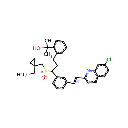 CC(C)(O)c1ccccc1CCC(c1cccc(/C=C/c2ccc3ccc(Cl)cc3n2)c1)[S@+]([O-])CC1(CC(=O)O)CC1